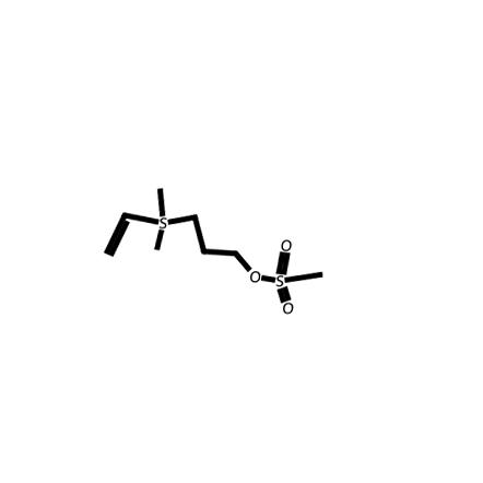 C=CS(C)(C)CCCOS(C)(=O)=O